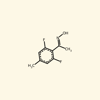 CC(=NO)c1c(F)cc(C)cc1F